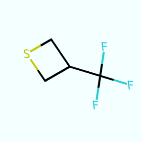 FC(F)(F)C1CSC1